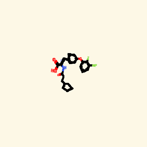 O=C(CCC1CCCC1)N/C(=C\c1ccc(Oc2cccc(F)c2F)cc1)C(=O)O